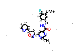 COc1cc(CNC(=O)c2cc(C3=NOC(c4ccccn4)C3)nc(C)n2)ccc1F